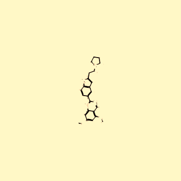 COc1cc(OC)c2cnc(-c3ccc4[nH]c(CCN5CCCC5)cc4c3)nc2c1